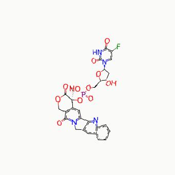 CC[C@@]1(OP(=O)(O)OC[C@H]2O[C@@H](n3cc(F)c(=O)[nH]c3=O)C[C@@H]2O)C(=O)OCc2c1cc1n(c2=O)Cc2cc3ccccc3nc2-1